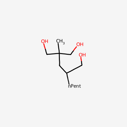 CCCCCC(CO)CC(C)(CO)CO